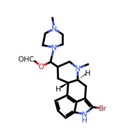 CN1CCN(C(OC=O)C2C[C@H]3c4cccc5[nH]c(Br)c(c45)C[C@@H]3N(C)C2)CC1